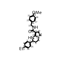 CCc1ccc(C2CCn3ncc(C(=O)NCc4ccc(OC)cc4)c3N2)cc1